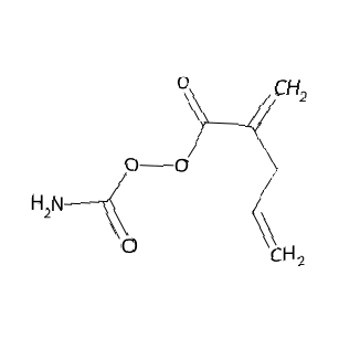 C=CCC(=C)C(=O)OOC(N)=O